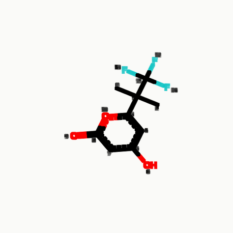 CC(C)(c1cc(O)cc(=O)o1)C(F)(F)F